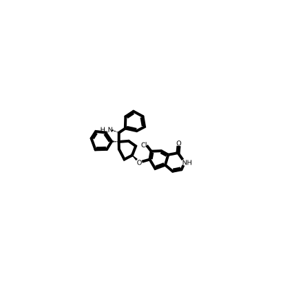 N[C@H](c1ccccc1)[C@]1(c2ccccc2)CC[C@H](Oc2cc3cc[nH]c(=O)c3cc2Cl)CC1